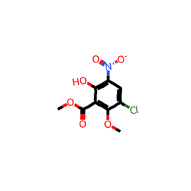 COC(=O)c1c(O)c([N+](=O)[O-])cc(Cl)c1OC